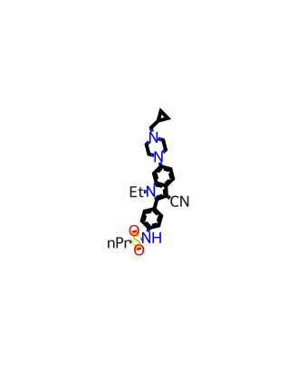 CCCS(=O)(=O)Nc1ccc(-c2c(C#N)c3ccc(N4CCN(CC5CC5)CC4)cc3n2CC)cc1